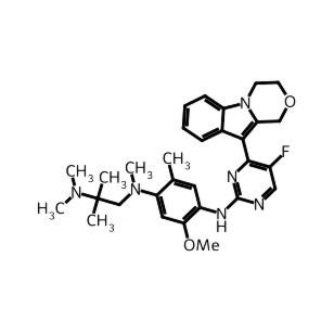 COc1cc(N(C)CC(C)(C)N(C)C)c(C)cc1Nc1ncc(F)c(-c2c3n(c4ccccc24)CCOC3)n1